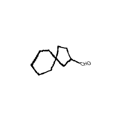 O=CC1CCC2(CCCCC2)C1